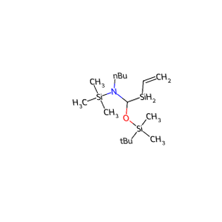 C=C[SiH2]C(O[Si](C)(C)C(C)(C)C)N(CCCC)[Si](C)(C)C